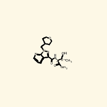 C[C@@H](O)[C@H](NC(=O)c1nn(CC2CCOCC2)c2ncccc12)C(N)=O